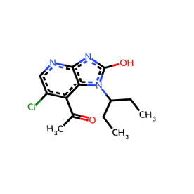 CCC(CC)n1c(O)nc2ncc(Cl)c(C(C)=O)c21